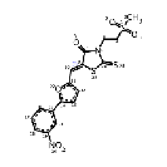 CS(=O)(=O)CCN1C(=O)/C(=C/c2ccc(-c3cccc([N+](=O)[O-])c3)o2)SC1=S